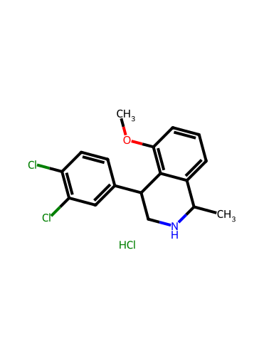 COc1cccc2c1C(c1ccc(Cl)c(Cl)c1)CNC2C.Cl